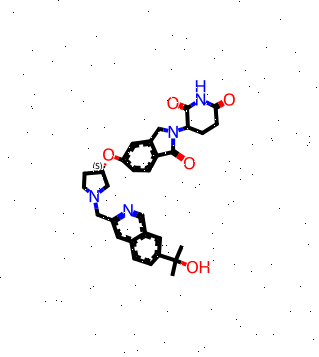 CC(C)(O)c1ccc2cc(CN3CC[C@H](Oc4ccc5c(c4)CN(C4CCC(=O)NC4=O)C5=O)C3)ncc2c1